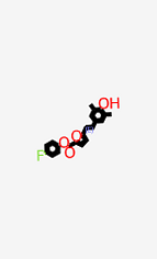 Cc1cc(/C=C/c2ccc(C(=O)Oc3ccc(F)cc3)o2)cc(C)c1O